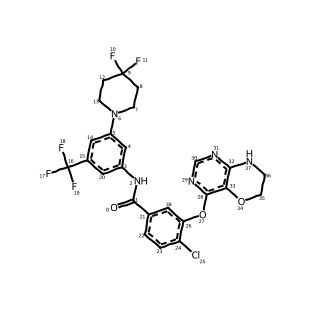 O=C(Nc1cc(N2CCC(F)(F)CC2)cc(C(F)(F)F)c1)c1ccc(Cl)c(Oc2ncnc3c2OCCN3)c1